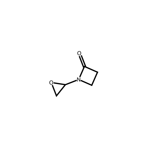 O=C1CCN1C1CO1